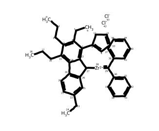 CCCc1c(CC)c(C2=CC=CC2)c2c(c1CCC)-c1ccc(CC)cc1[CH]2[Zr+2]=[C](c1ccccc1)c1ccccc1.[Cl-].[Cl-]